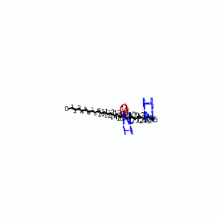 CCCCCCCCCCCCCCCCCC(=O)NCCCCNC